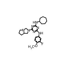 COc1ccc(Nc2nc(NC3CCCCCC3)nc(N3CC4CCCN4C3)n2)cc1F